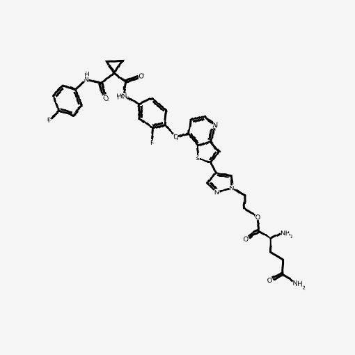 NC(=O)CCC(N)C(=O)OCCn1cc(-c2cc3nccc(Oc4ccc(NC(=O)C5(C(=O)Nc6ccc(F)cc6)CC5)cc4F)c3s2)cn1